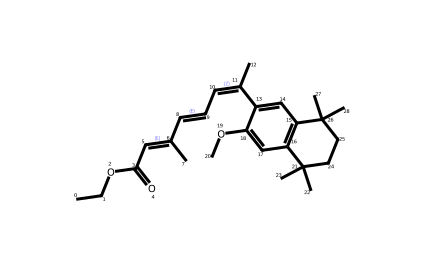 CCOC(=O)/C=C(C)/C=C/C=C(/C)c1cc2c(cc1OC)C(C)(C)CCC2(C)C